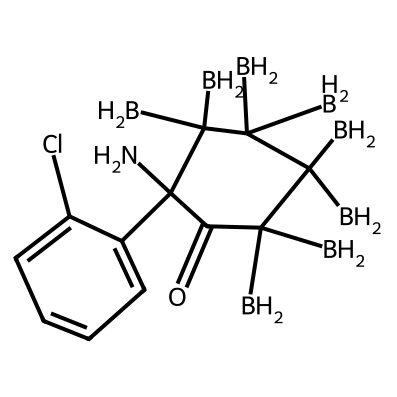 BC1(B)C(=O)C(N)(c2ccccc2Cl)C(B)(B)C(B)(B)C1(B)B